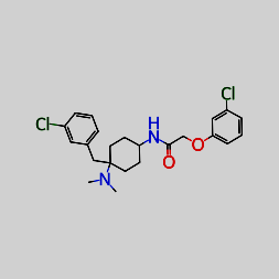 CN(C)C1(Cc2cccc(Cl)c2)CCC(NC(=O)COc2cccc(Cl)c2)CC1